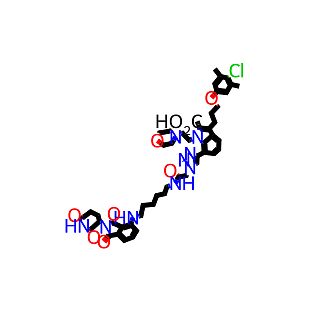 Cc1cc(OCCCc2c(C(=O)O)n(CCN3CCOCC3)c3c(-c4cn(CC(=O)NCCCCCCNc5cccc6c5C(=O)N(C5CCC(=O)NC5=O)C6=O)nn4)cccc23)cc(C)c1Cl